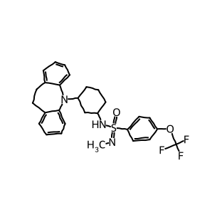 CN=S(=O)(NC1CCCC(N2c3ccccc3CCc3ccccc32)C1)c1ccc(OC(F)(F)F)cc1